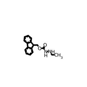 CCNNC(=O)OCC1c2ccccc2-c2ccccc21